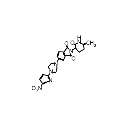 C=C1CCC(N2C(=O)c3ccc(N4CCN(c5ccc([N+](=O)[O-])cn5)CC4)cc3C2=O)C(=O)N1